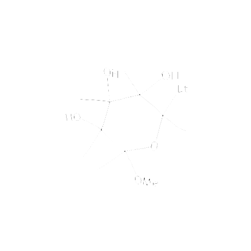 CCC1(C)OC(C)(OC)C(C)(O)C(C)(O)C1(C)O